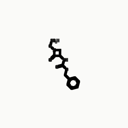 O=C(NC1CN(OS(=O)(=O)O)C1=O)OCc1ccccc1